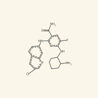 NC(=O)c1cc(F)c(NC2CCCCC2N)nc1Nc1ccc2cc(Cl)cnc2c1